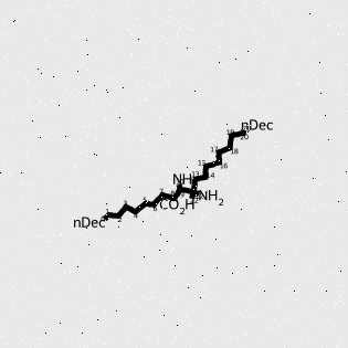 CCCCCCCCCCCCCCCCCCC(N)C(N)(CCCCCCCCCCCCCCCCCC)C(=O)O